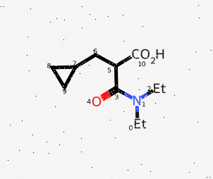 CCN(CC)C(=O)C(CC1CC1)C(=O)O